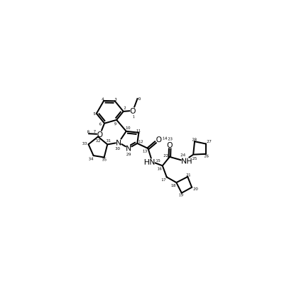 COc1cccc(OC)c1-c1cc(C(=O)NC(CC2CCC2)C(=O)NC2CCC2)nn1C1CCCC1